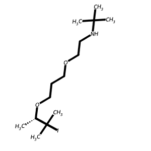 C[C@H](OCCCOCCNC(C)(C)C)C(C)(C)I